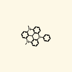 CN1c2cccc3c2C2c4c(cccc4N(C)c4cccc1c42)B3c1ccccc1